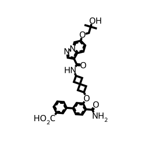 CC(C)(O)COc1ccc2c(C(=O)NC3CC4(C3)CC(Oc3cc(-c5cccc(C(=O)O)c5)ccc3C(N)=O)C4)cnn2c1